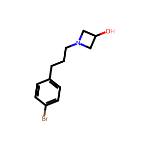 OC1CN(CCCc2ccc(Br)cc2)C1